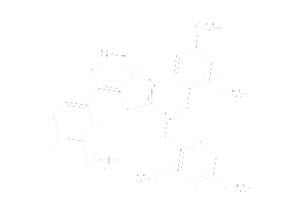 COc1ccc(CN(Cc2ccc(OC)cc2OC)c2nc3cncc(C4=CCOC(C(=O)O)C4)c3o2)c(OC)c1